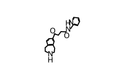 O=C(CCC(=O)c1ccc2c(c1)CCNCC2)NCc1ccccn1